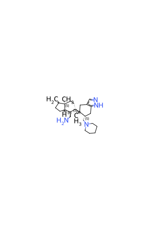 C=C1CC[C@H]2[C@H](CN)[C@@H]([C@]3(C)Cc4cn[nH]c4C[C@@H]3CN3CCCCC3)CC[C@]12C